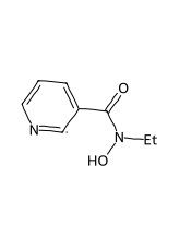 CCN(O)C(=O)c1[c]nccc1